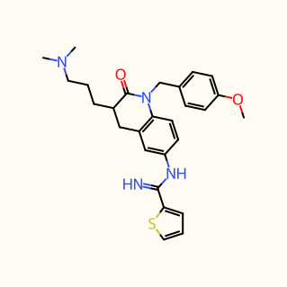 COc1ccc(CN2C(=O)C(CCCN(C)C)Cc3cc(NC(=N)c4cccs4)ccc32)cc1